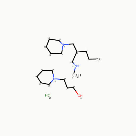 CC(C)(C)CC[C@@H](CNC(=O)O)CN1CCCCC1.Cl.OCCCN1CCCCC1